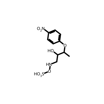 CC(Oc1ccc([N+](=O)[O-])cc1)C(O)CNOS(=O)(=O)O